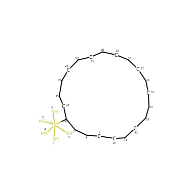 SS(S)(S)(S)(S)C1CCCCCCCCCCCCCCCCCCCC1